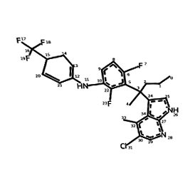 CCCC(C)(c1c(F)ccc(NC2=CCC(C(F)(F)F)C=C2)c1F)c1c[nH]c2ncc(Cl)c(C)c12